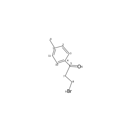 Cc1ccc(C(=O)CCBr)cc1